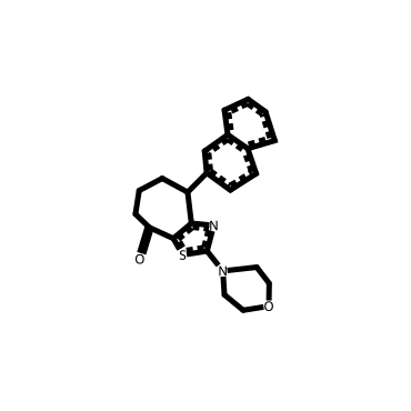 O=C1CCCC(c2ccc3ccccc3c2)c2nc(N3CCOCC3)sc21